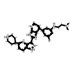 CN(C)CCNc1cc(F)cc(-c2ccnc3[nH]c(-c4n[nH]c5ccc(C6CCNCC6)nc45)nc23)c1